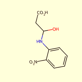 O=C(O)CC(O)Nc1ccccc1[N+](=O)[O-]